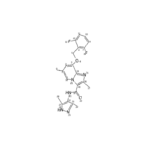 Cc1cc(OCc2c(F)cccc2F)c2nc(C)c(C(=O)Nc3c(C)n[nH]c3C)n2c1